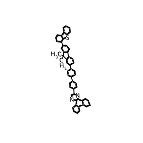 CC1(C)c2cc(-c3ccc(-c4ccc(-c5cnc6c7ccccc7c7ccccc7c6n5)cc4)cc3)ccc2-c2ccc(-c3cccc4c3sc3ccccc34)cc21